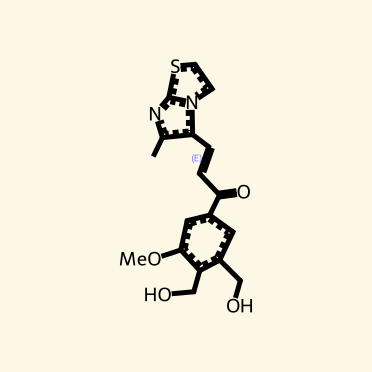 COc1cc(C(=O)/C=C/c2c(C)nc3sccn23)cc(CO)c1CO